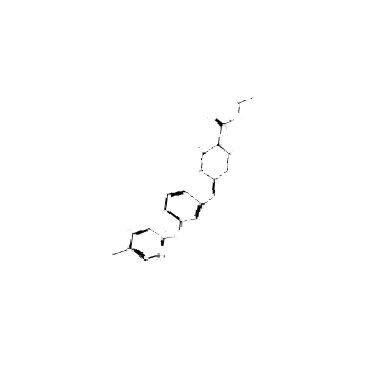 CCOC(=O)C1CCC(=Cc2cccc(Oc3ccc(C)cn3)c2)CC1